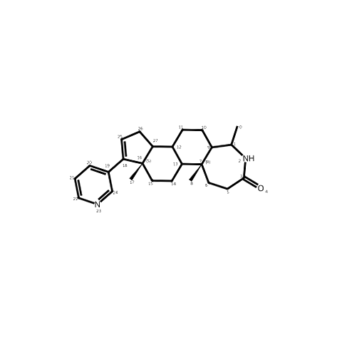 CC1NC(=O)CC[C@@]2(C)C1CCC1C2CC[C@]2(C)C(c3cccnc3)=CCC12